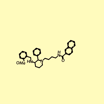 COc1ccccc1CNC1CCCN(CCCCNC(=O)c2ccc3ccccc3c2)C1c1ccccc1